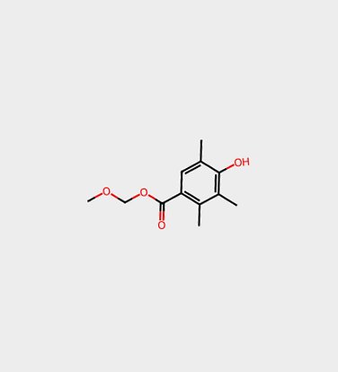 COCOC(=O)c1cc(C)c(O)c(C)c1C